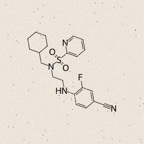 N#Cc1ccc(NCCN(CC2CCCCC2)S(=O)(=O)c2ccccn2)c(F)c1